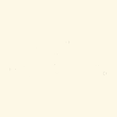 CCOCCCC(OC(=O)c1ccc(O)cc1F)C(F)(F)F